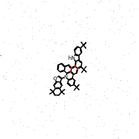 CC(C)(C)c1ccc(N(c2cc(-c3cc(C(C)(C)C)cc4c3[nH]c3ccc(C(C)(C)C)cc34)cc3ccccc23)c2coc3cc4c(cc23)C(C)(C)CCC4(C)C)c(-c2ccccc2)c1